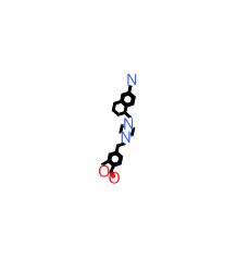 N#Cc1ccc2c(c1)CCCC2CN1CCN(CCc2ccc3c(c2)COC3=O)CC1